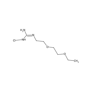 CCOCCOCCN=C(N)NCl